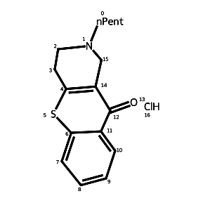 CCCCCN1CCc2sc3ccccc3c(=O)c2C1.Cl